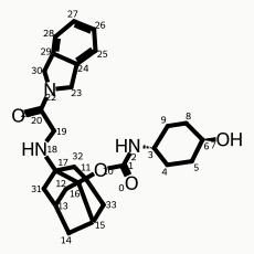 O=C(N[C@H]1CC[C@H](O)CC1)OC12CC3CC(CC(NCC(=O)N4Cc5ccccc5C4)(C3)C1)C2